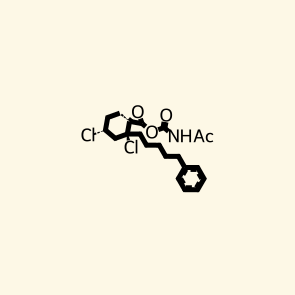 CC(=O)NC(=O)OC1O[C@@]12CC[C@@H](Cl)C[C@@]2(Cl)CCCCCc1ccccc1